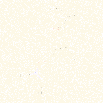 CCC(C)C(=O)OC(C)CCON(C)CC